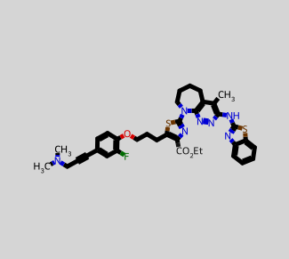 CCOC(=O)c1nc(N2CCCCc3c2nnc(Nc2nc4ccccc4s2)c3C)sc1CCCOc1ccc(C#CCN(C)C)cc1F